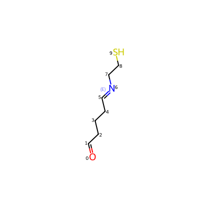 O=CCCC/C=N/CCS